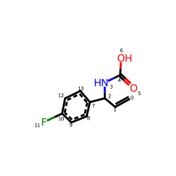 C=CC(NC(=O)O)c1ccc(F)cc1